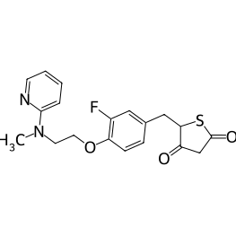 CN(CCOc1ccc(CC2SC(=O)CC2=O)cc1F)c1ccccn1